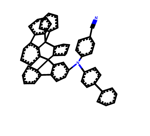 N#Cc1ccc(N(c2ccc(-c3ccccc3)cc2)c2ccc3c(c2)C2(c4ccccc4-3)c3ccccc3C3(c4ccccc4)c4ccccc4-c4cccc2c43)cc1